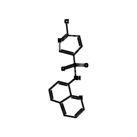 O=S(=O)(Nc1cccc2cccnc12)c1ccc(Cl)nc1